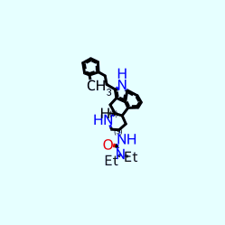 CCN(CC)C(=O)N[C@@H]1CN[C@@H]2Cc3c(CCc4ccccc4C)[nH]c4cccc(c34)C2C1